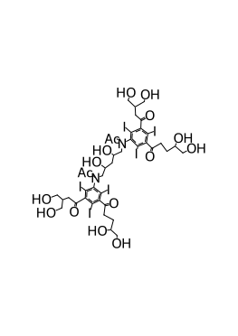 CC(=O)N(CC(O)CC(O)CN(C(C)=O)c1c(I)c(C(=O)CCC(O)CO)c(I)c(C(=O)CC(CO)CO)c1I)c1c(I)c(C(=O)CCC(O)CO)c(I)c(C(=O)CC(CO)CO)c1I